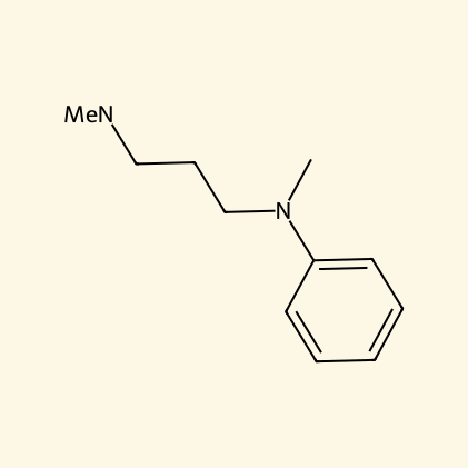 CNCCCN(C)c1ccccc1